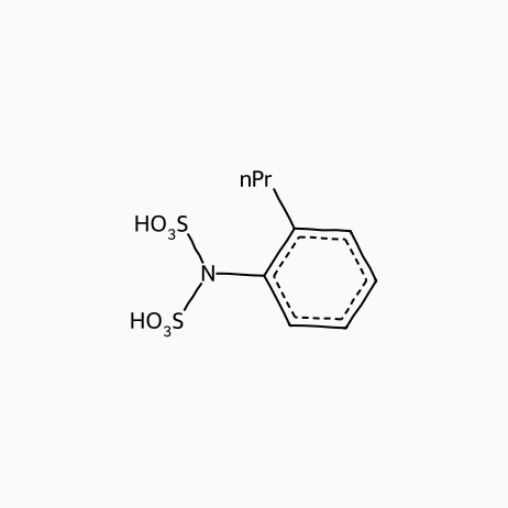 CCCc1ccccc1N(S(=O)(=O)O)S(=O)(=O)O